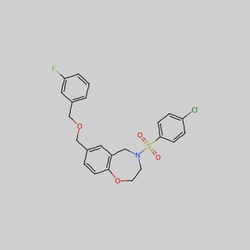 O=S(=O)(c1ccc(Cl)cc1)N1CCOc2ccc(COCc3cccc(F)c3)cc2C1